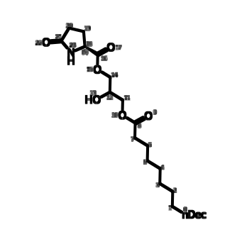 CCCCCCCCCCCCCCCCCC(=O)OCC(O)COC(=O)[C@@H]1CCC(=O)N1